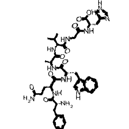 CC(C)[C@H](NC(=O)[C@H](C)NC(=O)[C@H](Cc1c[nH]c2ccccc12)NC(=O)[C@H](CCC(N)=O)NC(=O)[C@H](N)Cc1ccccc1)C(=O)NCC(=O)N[C@@H](Cc1c[nH]cn1)C(=O)O